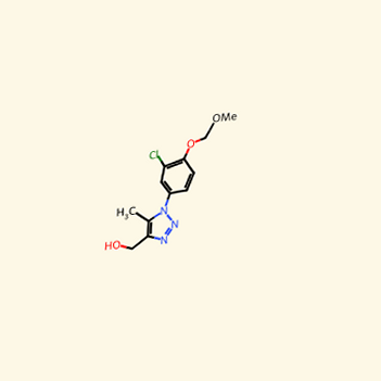 COCOc1ccc(-n2nnc(CO)c2C)cc1Cl